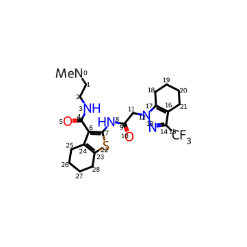 CNCCNC(=O)c1c(NC(=O)Cn2nc(C(F)(F)F)c3c2CCCC3)sc2c1CCCC2